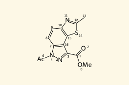 COC(=O)c1nn(C(C)=O)c2ccc3nc(C)sc3c12